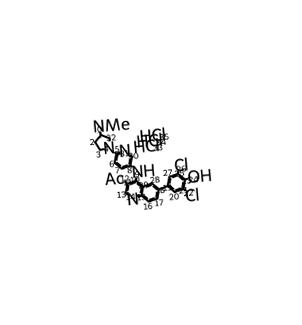 CNC1CCN(c2ccc(Nc3c(C(C)=O)cnc4ccc(-c5cc(Cl)c(O)c(Cl)c5)cc34)cn2)C1.Cl.Cl.Cl